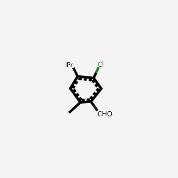 Cc1cc(C(C)C)c(Cl)cc1C=O